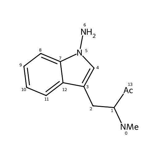 CNC(Cc1cn(N)c2ccccc12)C(C)=O